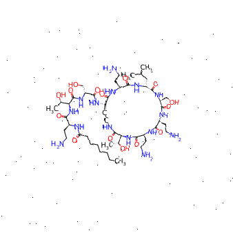 CCCCCCCC(=O)N[C@@H](CCN)C(=O)N[C@H](C(=O)N[C@H](CO)C(=O)N[C@H]1CCNC(=O)[C@H]([C@@H](C)O)NC(=O)[C@H](CCN)NC(=O)[C@H](CCN)NC(=O)[C@H](CO)NC(=O)[C@@H](CC(C)C)NC(=O)[C@H](CCN)NC1=O)[C@@H](C)O